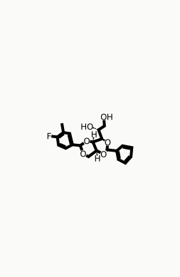 Cc1cc(C2OC[C@@H]3OC(c4ccccc4)O[C@H]([C@H](O)CO)[C@@H]3O2)ccc1F